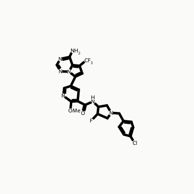 COc1ncc(-c2cc(C(F)(F)F)c3c(N)ncnn23)cc1C(=O)NC1CN(Cc2ccc(Cl)cc2)CC1F